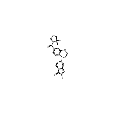 Cn1nc2cc(N3CCOc4cc(C(=O)N5CCCC5(C)C)cnc43)ccn2c1=O